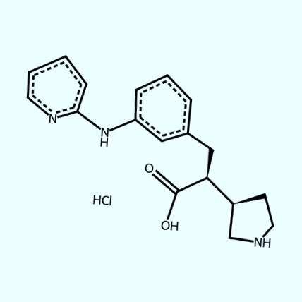 Cl.O=C(O)[C@@H](Cc1cccc(Nc2ccccn2)c1)[C@H]1CCNC1